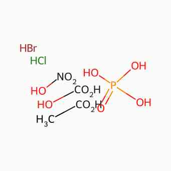 Br.CC(=O)O.Cl.O=C(O)O.O=P(O)(O)O.O=[N+]([O-])O